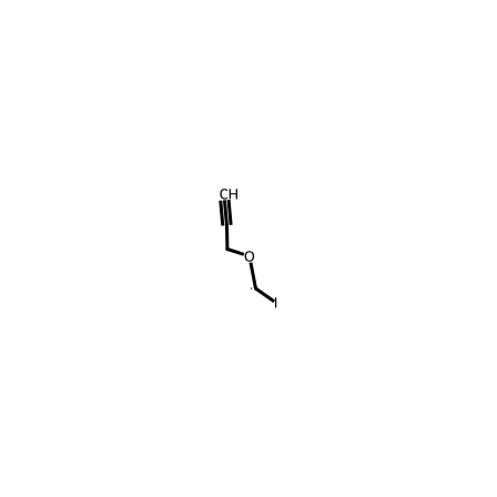 C#CCO[CH]I